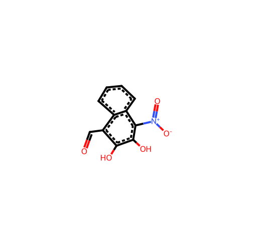 O=Cc1c(O)c(O)c([N+](=O)[O-])c2ccccc12